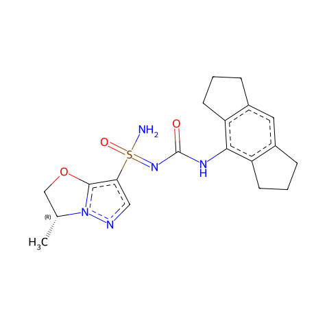 C[C@@H]1COc2c(S(N)(=O)=NC(=O)Nc3c4c(cc5c3CCC5)CCC4)cnn21